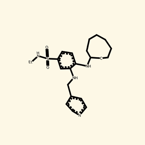 CCNS(=O)(=O)c1ccc(NC2CCCCCCC2)c(NCc2ccncc2)c1